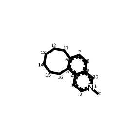 C[n+]1ccc2c3c(ccc2c1)CCCCCC3